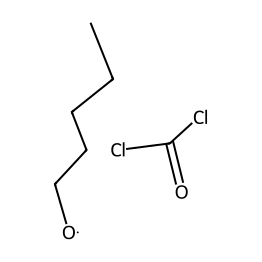 CCCCC[O].O=C(Cl)Cl